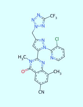 Cc1cc(C#N)cc2c(=O)n(C)c(-c3cc(Cn4nnc(C(F)(F)F)n4)nn3-c3ncccc3Cl)nc12